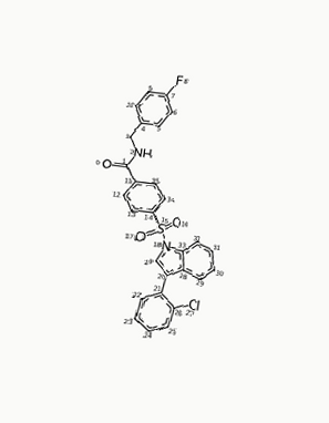 O=C(NCc1ccc(F)cc1)c1ccc(S(=O)(=O)n2cc(-c3ccccc3Cl)c3ccccc32)cc1